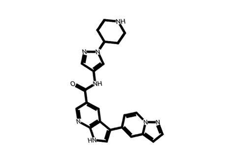 O=C(Nc1cnn(C2CCNCC2)c1)c1cnc2[nH]cc(-c3ccn4nccc4c3)c2c1